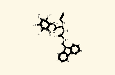 C=CC[C@H](NC(=O)OCC1c2ccccc2-c2ccccc21)C(=O)Oc1c(F)c(F)c(F)c(F)c1F